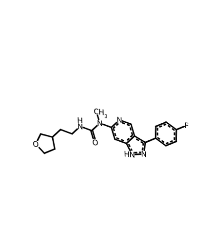 CN(C(=O)NCCC1CCOC1)c1cc2[nH]nc(-c3ccc(F)cc3)c2cn1